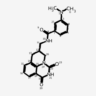 CN(C)c1cccc(C(=O)NCC2Cc3cccc4c(=O)[nH]c(=O)n(c34)C2)c1